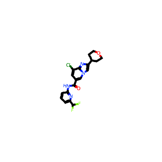 O=C(Nc1cccc(C(F)F)n1)c1cc(Cl)c2nc(C3CCOCC3)cn2c1